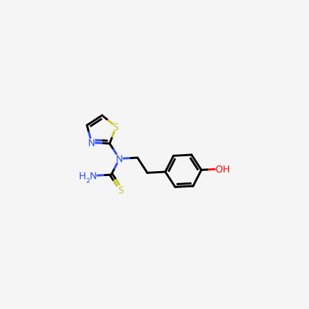 NC(=S)N(CCc1ccc(O)cc1)c1nccs1